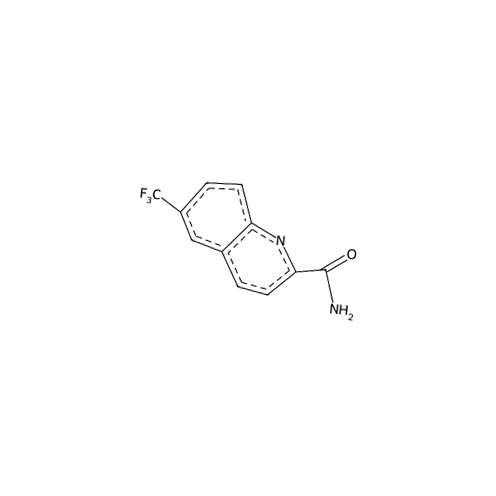 NC(=O)c1ccc2cc(C(F)(F)F)ccc2n1